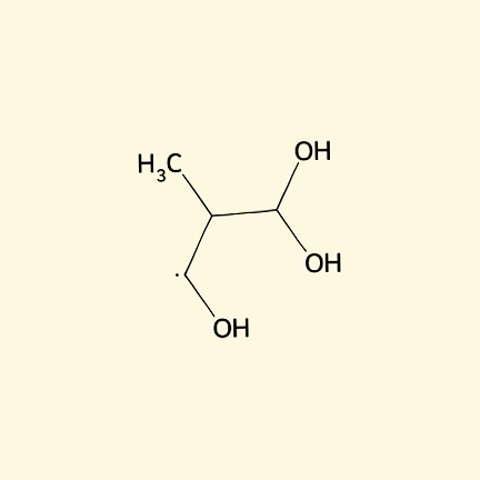 CC([CH]O)C(O)O